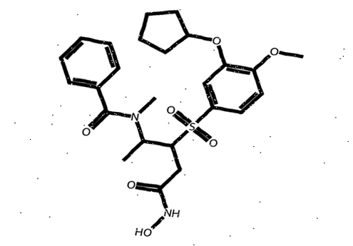 COc1ccc(S(=O)(=O)C(CC(=O)NO)C(C)N(C)C(=O)c2ccccc2)cc1OC1CCCC1